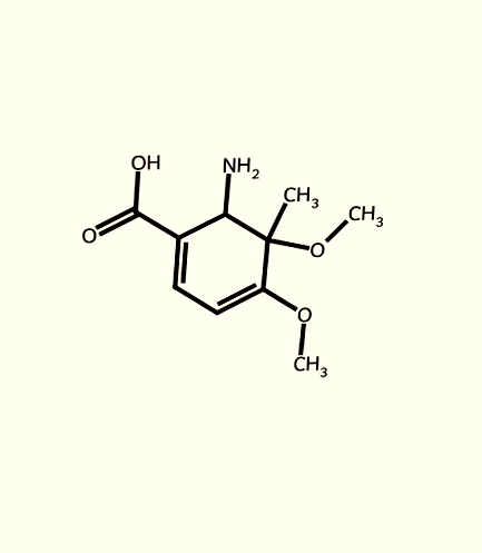 COC1=CC=C(C(=O)O)C(N)C1(C)OC